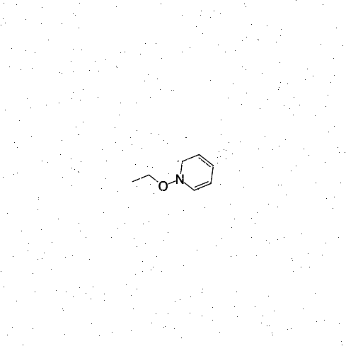 CCON1[CH]C=CC=C1